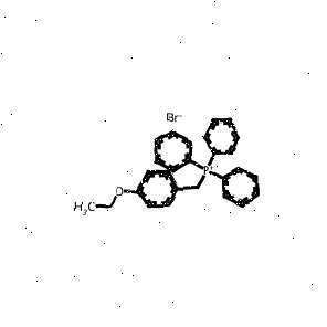 CCOc1ccc(C[P+](c2ccccc2)(c2ccccc2)c2ccccc2)cc1.[Br-]